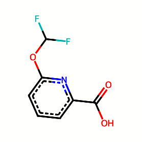 O=C(O)c1cccc(OC(F)F)n1